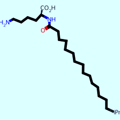 CC(C)CCCCCCCCCCCCCCC(=O)N[C@@H](CCCCN)C(=O)O